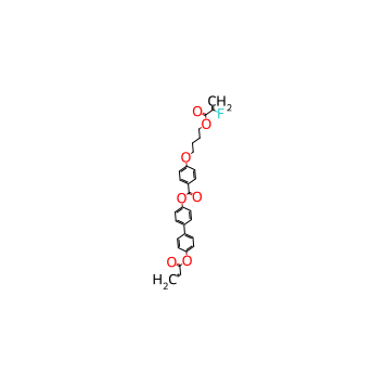 C=CC(=O)Oc1ccc(-c2ccc(OC(=O)c3ccc(OCCCCOC(=O)C(=C)F)cc3)cc2)cc1